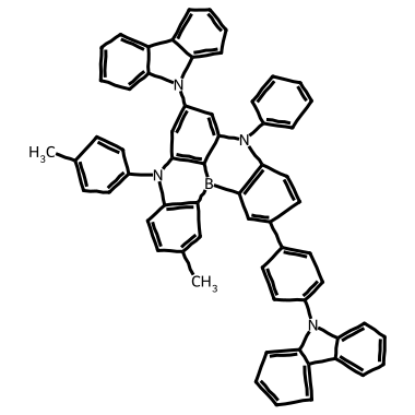 Cc1ccc(N2c3ccc(C)cc3B3c4cc(-c5ccc(-n6c7ccccc7c7ccccc76)cc5)ccc4N(c4ccccc4)c4cc(-n5c6ccccc6c6ccccc65)cc2c43)cc1